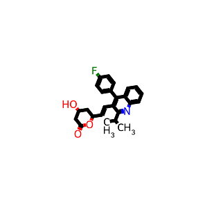 CC(C)c1nc2ccccc2c(-c2ccc(F)cc2)c1C=CC1CC(O)CC(=O)O1